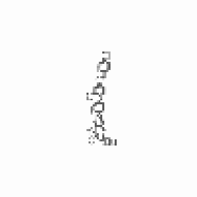 CC1CN(c2ccc(-n3ccc(OCc4ccc(Cl)cn4)cc3=O)cn2)CC1N(C)C(=O)OC(C)(C)C